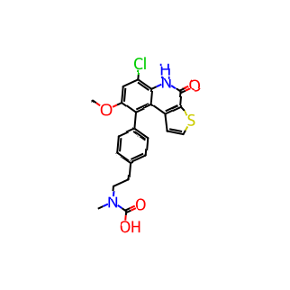 COc1cc(Cl)c2[nH]c(=O)c3sccc3c2c1-c1ccc(CCN(C)C(=O)O)cc1